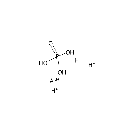 O=P(O)(O)O.[Al+3].[H+].[H+].[H+]